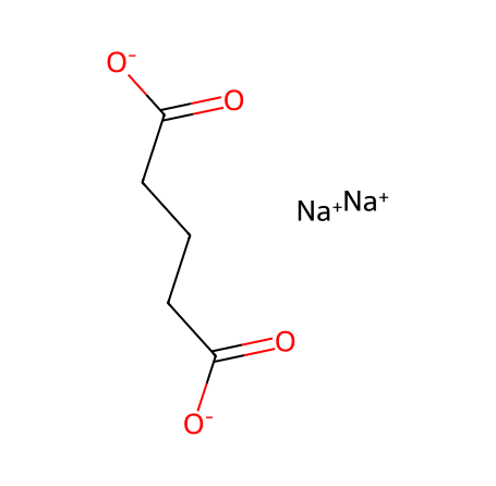 O=C([O-])CCCC(=O)[O-].[Na+].[Na+]